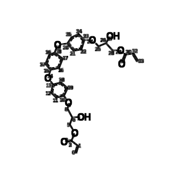 C=CC(=O)OCC(O)COc1ccc(Oc2ccc(Oc3ccc(OCC(O)COC(=O)C=C)cc3)cc2)cc1